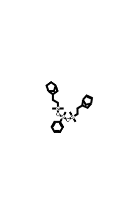 C[Si](C)(CCC1CC2C=CC1C2)O[Si](C)(O[Si](C)(C)CCC1CC2CCC1C2)c1ccccc1